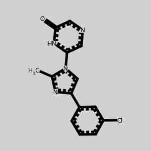 Cc1nc(-c2cccc(Cl)c2)cn1-c1cncc(=O)[nH]1